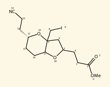 COC(=O)CCC1CC2(CI)O[C@@H](CCC#N)CCC2O1